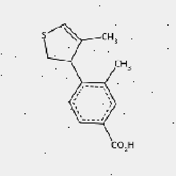 CC1=CSCC1c1ccc(C(=O)O)cc1C